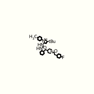 Cc1ccc(-n2nc(C(C)(C)C)cc2NC(=O)Nc2ccccc2CC2CCN(C(=O)Cc3ccc(F)cc3)CC2)cc1